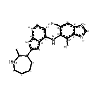 CC1NCCCCC1c1cc2c(Nc3c(F)cc4scnc4c3F)ccnc2s1